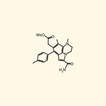 COC(=O)Cc1c(C)c2c3c(cc(C(N)=O)n3CCN2C)c1-c1ccc(C)cc1